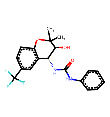 CC1(C)Oc2ccc(C(F)(F)F)cc2[C@@H](NC(=O)Nc2ccccc2)[C@@H]1O